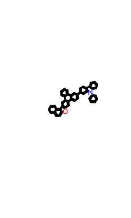 C1=Cc2c(ccc3oc4cc5c6ccc(-c7ccc8c9ccccc9n(-c9ccccc9)c8c7)cc6c6ccccc6c5cc4c23)CC1